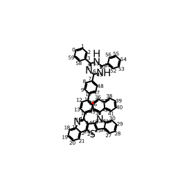 c1ccc(C2=NC(c3ccc(-c4ccc(-c5nc6ccccc6c6sc7c8ccccc8n(-c8cccc9ccccc89)c7c56)cc4)cc3)NC(c3ccccc3)N2)cc1